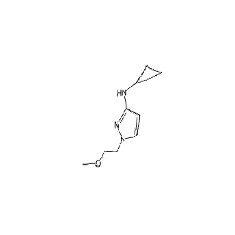 COCCn1ccc(NC2CC2)n1